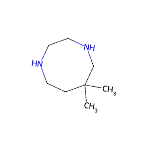 CC1(C)CCNCCNC1